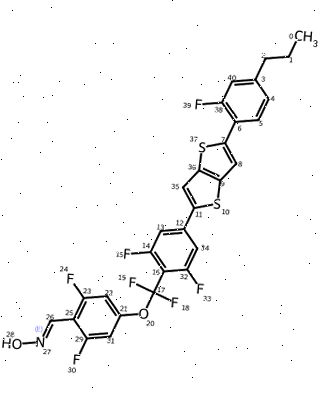 CCCc1ccc(-c2cc3sc(-c4cc(F)c(C(F)(F)Oc5cc(F)c(/C=N/O)c(F)c5)c(F)c4)cc3s2)c(F)c1